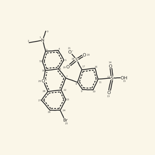 CN(C)c1ccc2c(-c3ccc(S(=O)(=O)O)cc3S(=O)(=O)[O-])c3cc(Br)ccc3[o+]c2c1